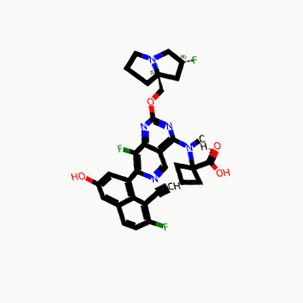 C#Cc1c(F)ccc2cc(O)cc(-c3ncc4c(N(C)C5(C(=O)O)CCC5)nc(OC[C@@]56CCCN5C[C@H](F)C6)nc4c3F)c12